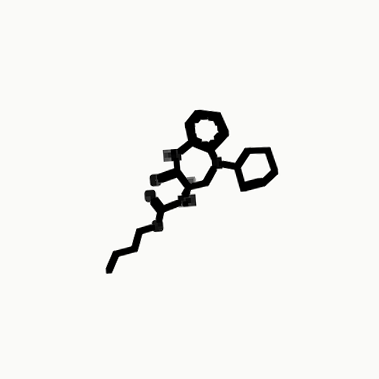 CCCCOC(=O)N[C@@H]1CN(C2C=CCCC2)c2ccccc2NC1=O